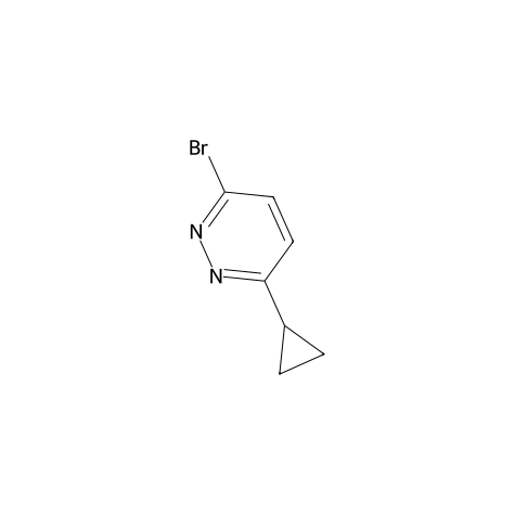 Brc1ccc(C2CC2)nn1